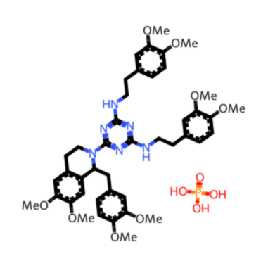 COc1ccc(CCNc2nc(NCCc3ccc(OC)c(OC)c3)nc(N3CCc4cc(OC)c(OC)cc4C3Cc3ccc(OC)c(OC)c3)n2)cc1OC.O=P(O)(O)O